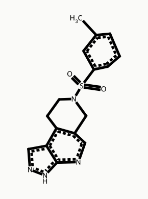 Cc1cccc(S(=O)(=O)N2CCc3c(cnc4[nH]ncc34)C2)c1